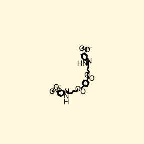 O=C(OCCCc1nc2cc([N+](=O)[O-])ccc2[nH]1)c1ccc(C(=O)OCCCc2nc3cc([N+](=O)[O-])ccc3[nH]2)cc1